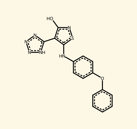 Oc1nsc(Nc2ccc(Oc3ccccc3)cc2)c1-c1nnn[nH]1